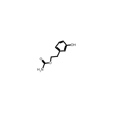 NC(=O)OCCc1cccc(O)c1